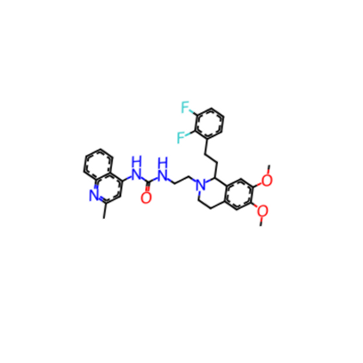 COc1cc2c(cc1OC)C(CCc1cccc(F)c1F)N(CCNC(=O)Nc1cc(C)nc3ccccc13)CC2